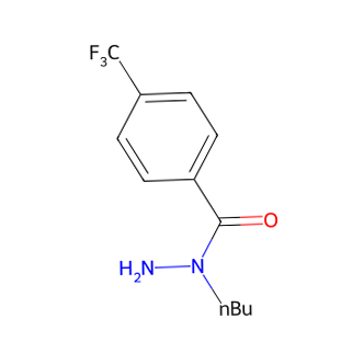 CCCCN(N)C(=O)c1ccc(C(F)(F)F)cc1